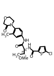 CO[C@H](C)[C@@H](NC(=O)c1ccc(Cl)s1)C(=O)Nc1ccc(N2CCOCC2=O)c(C)c1